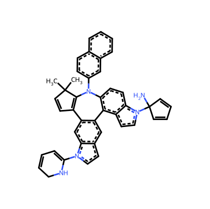 CC1(C)C=CC2=C1N(c1ccc3ccccc3c1)c1ccc3c(ccn3C3(N)C=CC=C3)c1-c1cc3ccn(C4=CC=CCN4)c3cc12